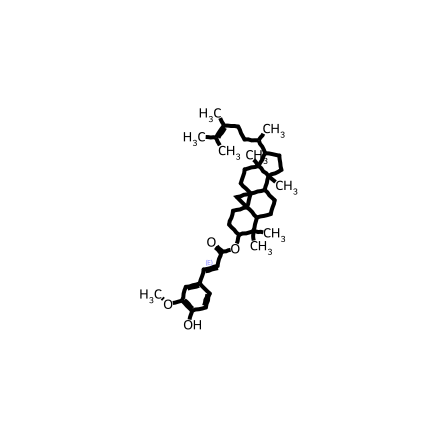 COc1cc(/C=C/C(=O)OC2CCC34CC35CCC3(C)C(C(C)CCC(C)=C(C)C)CCC3(C)C5CCC4C2(C)C)ccc1O